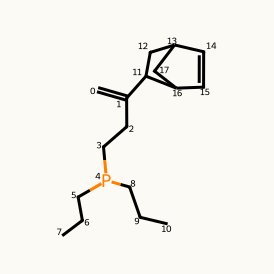 C=C(CCP(CCC)CCC)C1CC2C=CC1C2